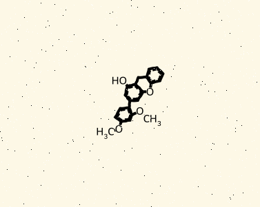 COc1ccc(-c2cc(O)c3c(c2)Oc2ccccc2C3)c(OC)c1